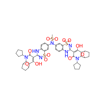 CS(=O)(=O)N(c1ccc2c(c1)S(=O)(=O)N=C(C1=C(O)C3C4CCC(O4)C3N(C3CCCC3)C1=O)N2)c1ccc2c(c1)S(=O)(=O)N=C(C1=C(O)C3C4CCC(O4)C3N(C3CCCC3)C1=O)N2